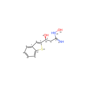 N=C(C[C@H](O)c1cc2ccccc2s1)NO